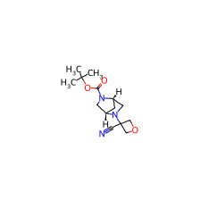 CC(C)(C)OC(=O)N1C[C@@H]2C[C@H]1CN2C1(C#N)COC1